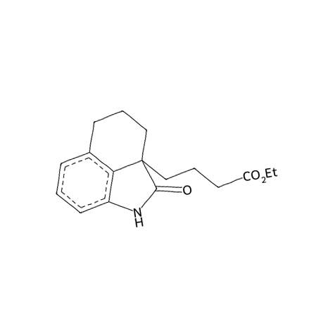 CCOC(=O)CCCC12CCCc3cccc(c31)NC2=O